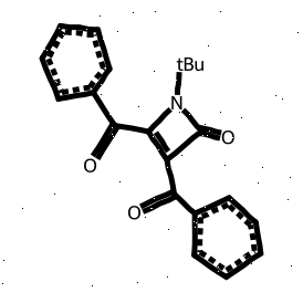 CC(C)(C)N1C(=O)C(C(=O)c2ccccc2)=C1C(=O)c1ccccc1